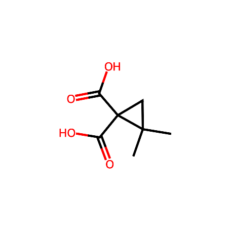 CC1(C)CC1(C(=O)O)C(=O)O